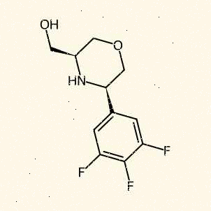 OC[C@H]1COC[C@@H](c2cc(F)c(F)c(F)c2)N1